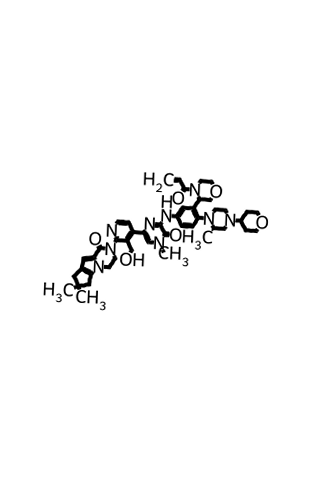 C=CC(=O)N1CCOCC1c1cc(Nc2nc(-c3ccnc(N4CCn5c(cc6c5CC(C)(C)C6)C4=O)c3CO)cn(C)c2=O)ccc1N1CCN(C2CCOCC2)C[C@@H]1C